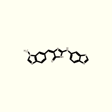 Cn1cnc2ccc(C=C3N=C(Nc4ccc5ncsc5c4)NC3=O)cc21